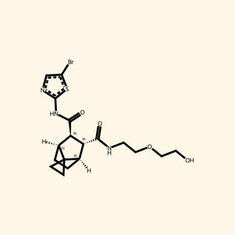 O=C(NCCOCCO)[C@H]1[C@H](C(=O)Nc2ncc(Br)s2)[C@@H]2CC[C@H]1C21CC1